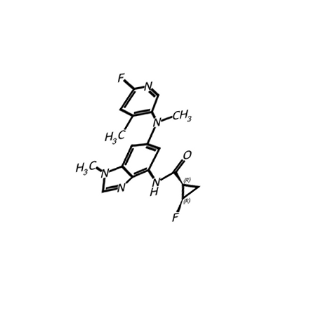 Cc1cc(F)ncc1N(C)c1cc(NC(=O)[C@H]2C[C@H]2F)c2ncn(C)c2c1